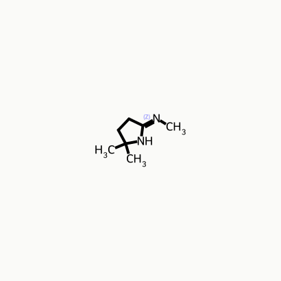 C/N=C1/CCC(C)(C)N1